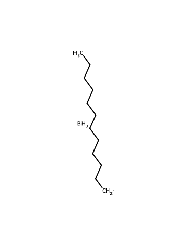 [BiH3].[CH2]CCCCCCCCCCC